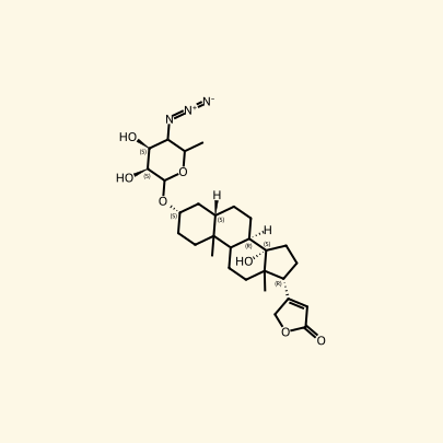 CC1OC(O[C@H]2CCC3(C)C4CCC5(C)[C@@H](C6=CC(=O)OC6)CC[C@]5(O)[C@@H]4CC[C@H]3C2)[C@@H](O)[C@@H](O)C1N=[N+]=[N-]